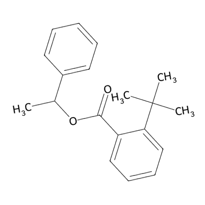 CC(OC(=O)c1ccccc1C(C)(C)C)c1ccccc1